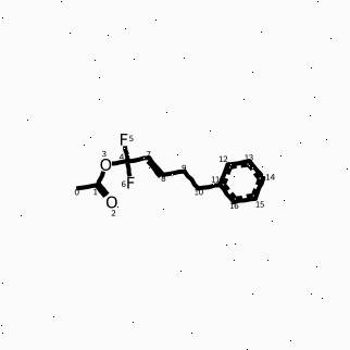 CC(=O)OC(F)(F)/C=C/CCc1ccccc1